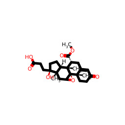 COC(=O)[C@@H]1CC2=CC(=O)CC[C@]2(C)[C@@]23OC2C[C@@]2(C)[C@@H](CC[C@@]2(O)CCC(=O)O)[C@]13C